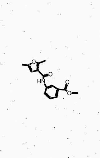 COC(=O)c1cccc(NC(=O)c2cc(C)oc2C)c1